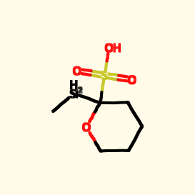 C[SiH2]C1(S(=O)(=O)O)CCCCO1